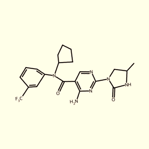 CC1CN(c2ncc(C(=O)N(c3cccc(C(F)(F)F)c3)C3CCCC3)c(N)n2)C(=O)N1